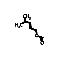 CC(C)C=CCO[C]=O